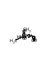 CCCCCNC(=O)N1C/C(=N/OC)CC1C(=O)N1CCN(Cc2ccc3c(c2)OCO3)CC1